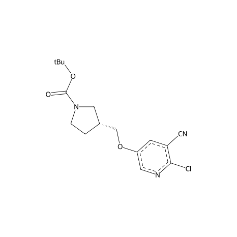 CC(C)(C)OC(=O)N1CC[C@@H](COc2cnc(Cl)c(C#N)c2)C1